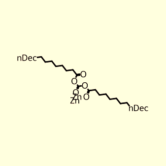 CCCCCCCCCCCCCCCCCC(=O)OC(=O)OC(=O)CCCCCCCCCCCCCCCCC.[Zn].[Zn]